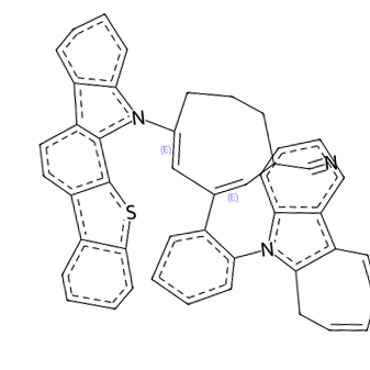 N#CC1/C=C(c2ccccc2-n2c3c(c4ccccc42)C=CC=CC3)\C=C(\n2c3ccccc3c3ccc4c5ccccc5sc4c32)CCC1